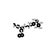 C=CC(=O)N1CCN(c2nc(NCCC(=O)NCc3ccc(-n4c(O)nnc4-c4cc(C(C)C)c(O)cc4O)cc3C(F)(F)F)nc3c2CCN(c2cccc4ccccc24)C3)CC1